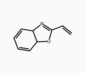 C=CC1=NC2C=CC=CC2O1